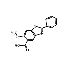 COc1cc2sc(-c3ccccc3)nc2cc1C(=O)O